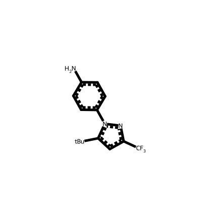 CC(C)(C)c1cc(C(F)(F)F)nn1-c1ccc(N)cc1